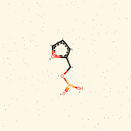 O=[PH](O)OCc1ccco1